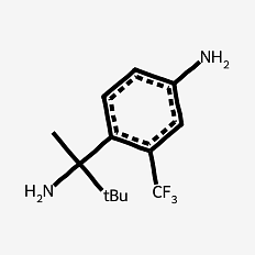 CC(C)(C)C(C)(N)c1ccc(N)cc1C(F)(F)F